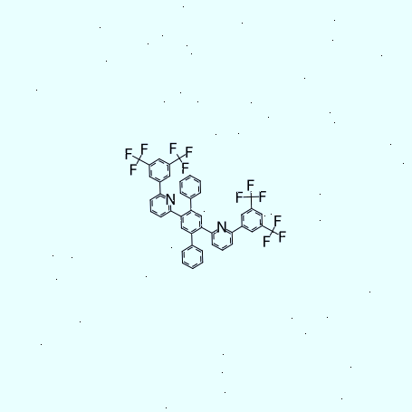 FC(F)(F)c1cc(-c2cccc(-c3cc(-c4ccccc4)c(-c4cccc(-c5cc(C(F)(F)F)cc(C(F)(F)F)c5)n4)cc3-c3ccccc3)n2)cc(C(F)(F)F)c1